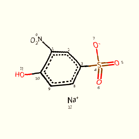 O=[N+]([O-])c1cc(S(=O)(=O)[O-])ccc1O.[Na+]